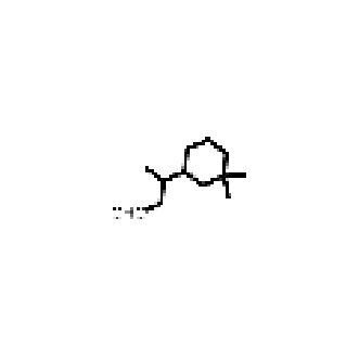 CC(CC=O)C1CCCC(C)(C)C1